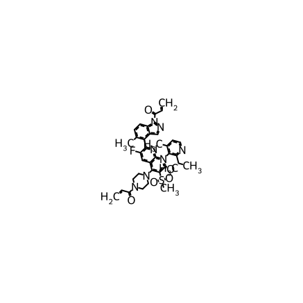 C=CC(=O)N1CCN(c2c(S(C)(=O)=O)c(=O)n(-c3c(C)ccnc3C(C)C)c3nc(-c4c(C)ccc5c4cnn5C(=O)C=C)c(F)cc23)CC1